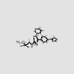 CC(C)(CNc1nc(-c2ccc(-c3cnco3)cc2)c(-c2cccnc2)s1)C(=O)O